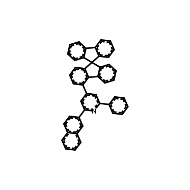 c1ccc(-c2cc(-c3cccc4c3-c3ccccc3C43c4ccccc4-c4ccccc43)cc(-c3ccc4ccccc4c3)n2)cc1